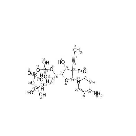 CC#CC1(F)[C@@H](O)[C@@H]([C@H](C)OP(=O)(O)OP(=O)(O)OP(=O)(O)O)O[C@H]1n1cnc(N)nc1=O